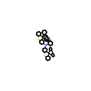 c1ccc2c(c1)Sc1ccc(N(c3ccc4c(c3)C3(c5ccccc5S4)c4ccccc4-c4ccccc43)c3cccc4sc5ccccc5c34)cc1C21c2ccccc2-c2ccccc21